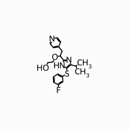 CC(C)c1nc(C(Cc2ccncc2)OCCO)[nH]c1Sc1cccc(F)c1